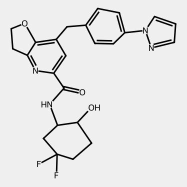 O=C(NC1CC(F)(F)CCC1O)c1cc(Cc2ccc(-n3cccn3)cc2)c2c(n1)CCO2